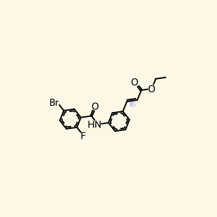 CCOC(=O)/C=C/c1cccc(NC(=O)c2cc(Br)ccc2F)c1